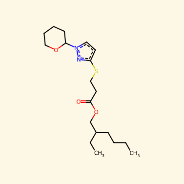 CCCCC(CC)COC(=O)CCSc1ccn(C2CCCCO2)n1